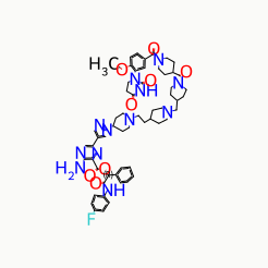 COc1ccc(C(=O)N2CCC(C(=O)N3CCC(CN4CCC(CCN5CCC(n6cc(-c7cnc(N)c(C(=O)O[C@@H](C(=O)Nc8ccc(F)cc8)c8ccccc8)n7)cn6)CC5)CC4)CC3)CC2)cc1N1CCC(=O)NC1=O